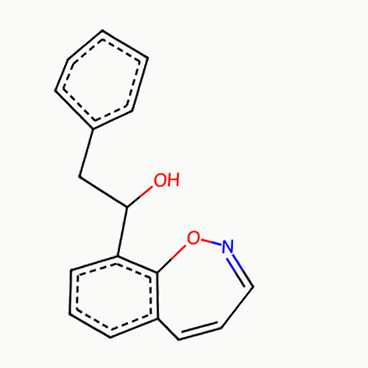 OC(Cc1ccccc1)c1cccc2c1ON=CC=C2